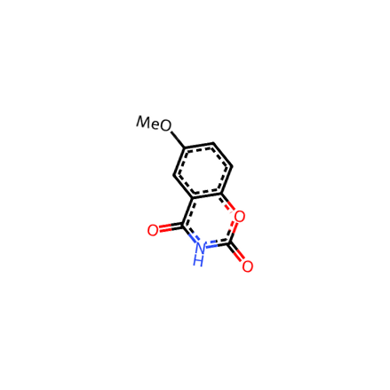 COc1ccc2oc(=O)[nH]c(=O)c2c1